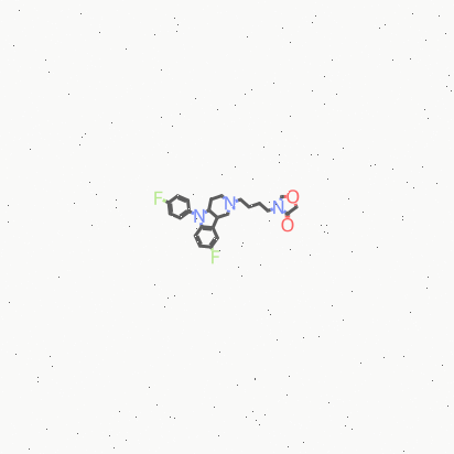 O=C1COCN1CCCCN1CCC2C(C1)c1cc(F)ccc1N2c1ccc(F)cc1